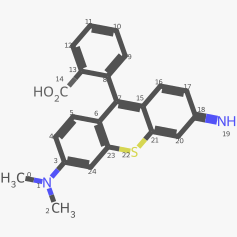 CN(C)c1ccc2c(-c3ccccc3C(=O)O)c3ccc(=N)cc-3sc2c1